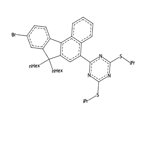 CCCCCCC1(CCCCCC)c2cc(Br)ccc2-c2c1cc(-c1nc(SC(C)C)nc(SC(C)C)n1)c1ccccc21